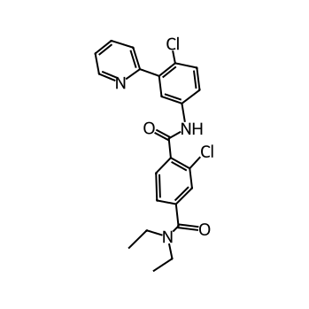 CCN(CC)C(=O)c1ccc(C(=O)Nc2ccc(Cl)c(-c3ccccn3)c2)c(Cl)c1